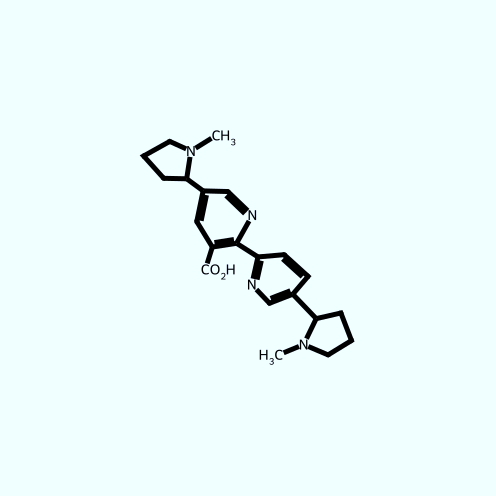 CN1CCCC1c1ccc(-c2ncc(C3CCCN3C)cc2C(=O)O)nc1